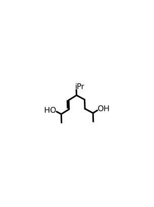 CC(O)C=CC(CCC(C)O)C(C)C